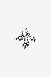 CCC/C=C/C[C@@]1(C(=O)N2CCN(C=O)CC2)CC(=O)N(Cc2ccc(Cl)c(F)c2)[C@H]1c1c[nH]c2cc(Cl)ccc12